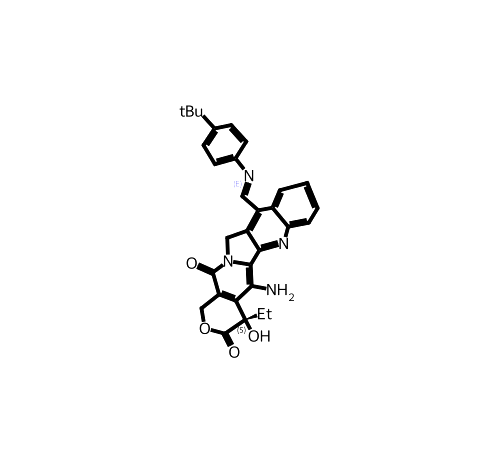 CC[C@@]1(O)C(=O)OCc2c1c(N)c1n(c2=O)Cc2c-1nc1ccccc1c2/C=N/c1ccc(C(C)(C)C)cc1